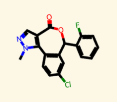 Cn1ncc2c1-c1ccc(Cl)cc1C(c1ccccc1F)OC2=O